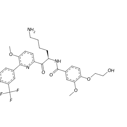 COc1cc(C(=O)N[C@H](CCCCN)C(=O)c2ccc(OC)c(-c3ccc(F)c(C(F)(F)F)c3)n2)ccc1OCCO